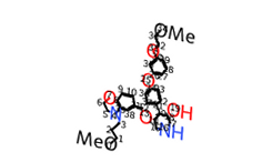 COCCCN1CCOc2ccc(CO[C@H]3CNC[C@@H](O)[C@@H]3c3ccc(Oc4cccc(OCCOC)c4)cc3)cc21